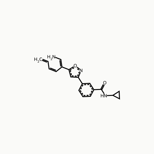 C=C/C=C\C(=C/N)c1cc(-c2cccc(C(=O)NC3CC3)c2)no1